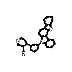 N#Cc1cnccc1-c1cccc(-n2c3ccccc3c3c4oc5ccccc5c4ccc32)c1